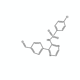 O=Cc1ccc(-c2nccnc2NS(=O)(=O)c2ccc(Cl)cc2)cc1